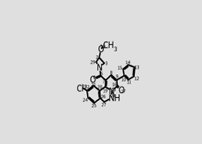 COC1CN(C(=O)c2cc(-c3ccccc3)c(=O)n3c2-c2cc(Cl)ccc2CN3)C1